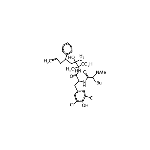 C=CCC(CC(C)(O)C(C)(NC(=O)C(Cc1cc(Cl)c(O)c(Cl)c1)NC(=O)C(NC)C(C)CC)C(=O)O)c1ccccc1